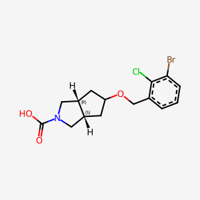 O=C(O)N1C[C@H]2CC(OCc3cccc(Br)c3Cl)C[C@H]2C1